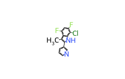 Cc1c(-c2cccnc2)[nH]c2c(Cl)c(F)cc(F)c12